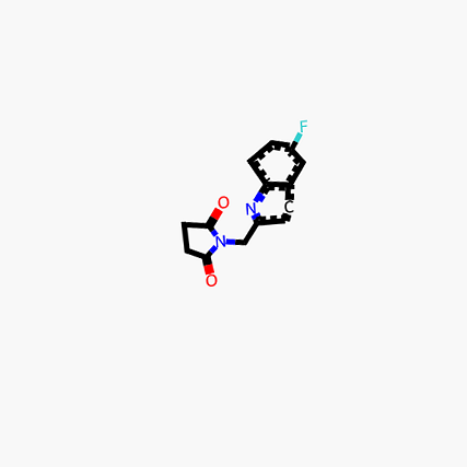 O=C1CCC(=O)N1Cc1ccc2cc(F)ccc2n1